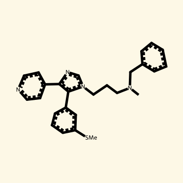 CSc1cccc(-c2c(-c3ccncc3)ncn2CCCN(C)Cc2ccccc2)c1